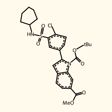 COC(=O)c1ccc2cc(-c3ccc(Cl)c(S(=O)(=O)NC4CCCCC4)c3)n(C(=O)OC(C)(C)C)c2c1